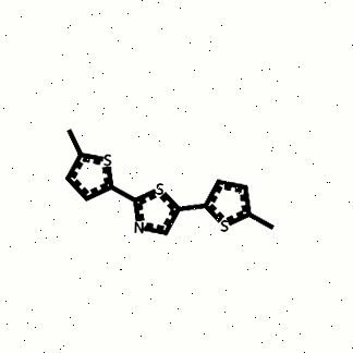 Cc1ccc(-c2cnc(-c3ccc(C)s3)s2)s1